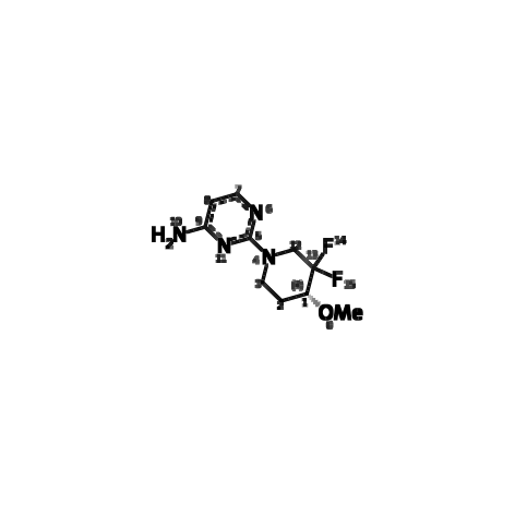 CO[C@@H]1CCN(c2nccc(N)n2)CC1(F)F